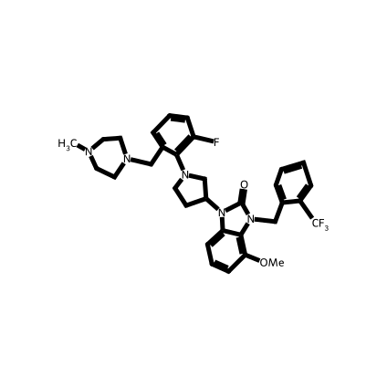 COc1cccc2c1n(Cc1ccccc1C(F)(F)F)c(=O)n2C1CCN(c2c(F)cccc2CN2CCN(C)CC2)C1